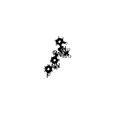 Cc1ccccc1-c1cc(NC(=O)c2ccc3c(c2)ncn3-c2cccc(F)c2)n(C(C)(C)C)n1